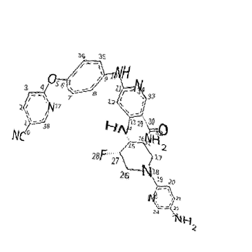 N#Cc1ccc(Oc2ccc(Nc3cc(N[C@@H]4CCN(c5ccc(N)cn5)C[C@@H]4F)c(C(N)=O)cn3)cc2)nc1